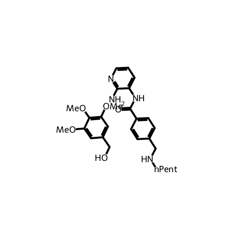 CCCCCNCc1ccc(C(=O)Nc2cccnc2N)cc1.COc1cc(CO)cc(OC)c1OC